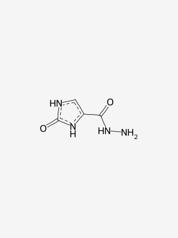 NNC(=O)c1c[nH]c(=O)[nH]1